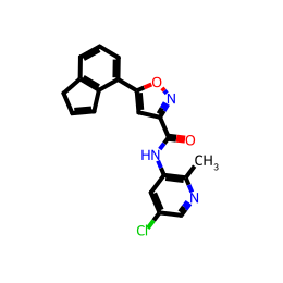 Cc1ncc(Cl)cc1NC(=O)c1cc(-c2cccc3c2C=CC3)on1